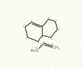 C1=C2CCCCC2CCC1.C=COC(C)=O